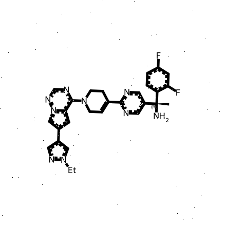 CCn1cc(-c2cc3c(N4CC=C(c5ncc([C@@](C)(N)c6ccc(F)cc6F)cn5)CC4)ncnn3c2)cn1